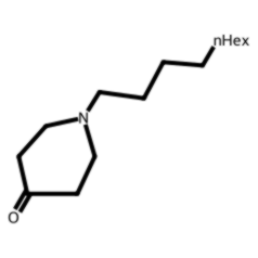 CCCCCCCCCCN1CCC(=O)CC1